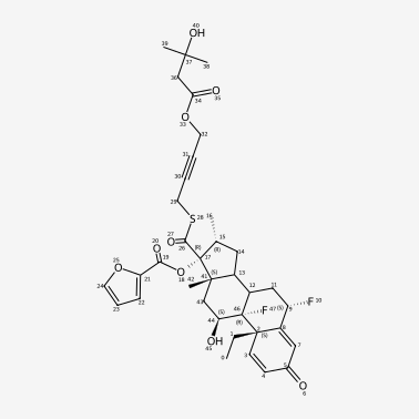 CC[C@]12C=CC(=O)C=C1[C@@H](F)CC1C3C[C@@H](C)[C@](OC(=O)c4ccco4)(C(=O)SCC#CCOC(=O)CC(C)(C)O)[C@@]3(C)C[C@H](O)[C@@]12F